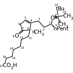 CCCCC[C@@H](CCC1=CCC(=O)[C@]1(C)CCCCCCC(=O)O)O[Si](C)(C)C(C)(C)C